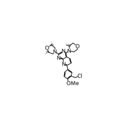 COc1ccc(-c2ccc3c(N4CCOC[C@@H]4C)nc(N4C[C@@H](C)O[C@@H](C)C4)nc3n2)cc1CCl